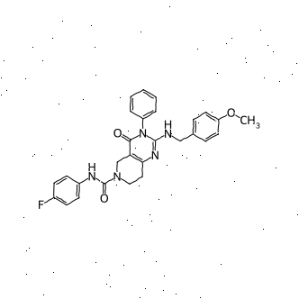 COc1ccc(CNc2nc3c(c(=O)n2-c2ccccc2)CN(C(=O)Nc2ccc(F)cc2)CC3)cc1